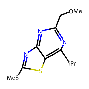 COCc1nc(C(C)C)c2sc(SC)nc2n1